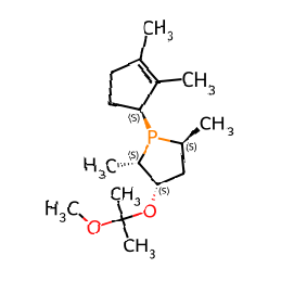 COC(C)(C)O[C@H]1C[C@H](C)P([C@H]2CCC(C)=C2C)[C@H]1C